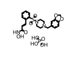 O=C(C=Cc1ccccc1S(=O)(=O)N1CCN(Cc2ccc3c(c2)OCO3)CC1)NO.O=P(O)(O)O